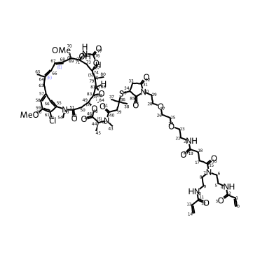 C=CC(=O)NCCN(CCNC(=O)C=C)C(=O)CCC(=O)NCCOCCOCCN1C(=O)CC(SC(C)(C)CC(=O)N(C)[C@@H](C)C(=O)O[C@H]2CC(=O)N(C)c3cc(cc(OC)c3Cl)C/C(C)=C/C=C/[C@@H](OC)[C@@]3(O)C[C@H](OC(=O)N3)[C@@H](C)[C@@H]3O[C@@]23C)C1=O